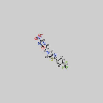 CC1(CN2Cc3nc(-c4ccc(C(F)(F)F)cc4)sc3C2)Cn2cc([N+](=O)[O-])nc2O1